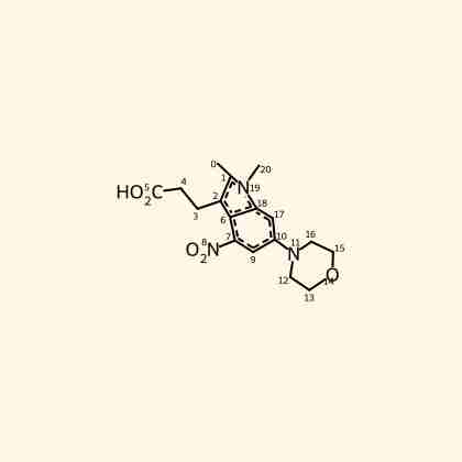 Cc1c(CCC(=O)O)c2c([N+](=O)[O-])cc(N3CCOCC3)cc2n1C